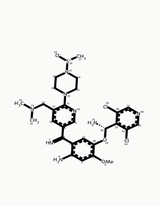 COc1cc(N)c(C(=N)c2cnc(N3CCN([S+](C)[O-])CC3)c(CN(C)C)c2)cc1O[C@H](N)c1c(Cl)cncc1Cl